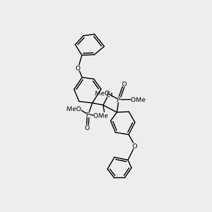 CCC(C)(C1(P(=O)(OC)OC)C=CC(Oc2ccccc2)=CC1)C1(P(=O)(OC)OC)C=CC(Oc2ccccc2)=CC1